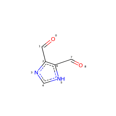 O=[C]c1nc[nH]c1[C]=O